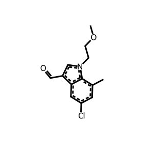 COCCn1cc(C=O)c2cc(Cl)cc(C)c21